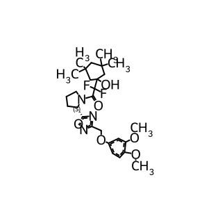 COc1ccc(OCc2noc([C@@H]3CCCN3C(=O)C(F)(F)C3(O)CC(C)(C)CC(C)(C)C3)n2)cc1OC